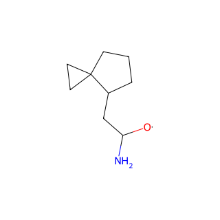 NC([O])CC1CCCC12CC2